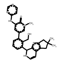 Cn1cc(-c2cccc(C3NC=Cc4c3sc3c4CC(C)(C)C3)c2CO)cc(Nc2ccncn2)c1=O